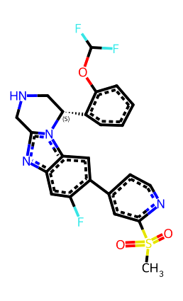 CS(=O)(=O)c1cc(-c2cc3c(cc2F)nc2n3[C@@H](c3ccccc3OC(F)F)CNC2)ccn1